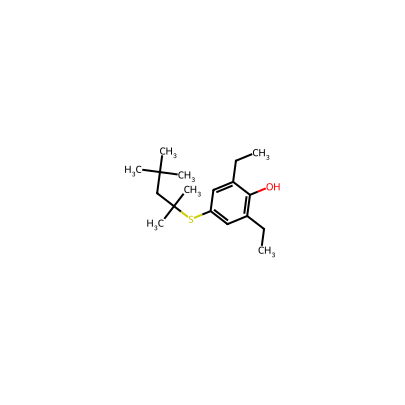 CCc1cc(SC(C)(C)CC(C)(C)C)cc(CC)c1O